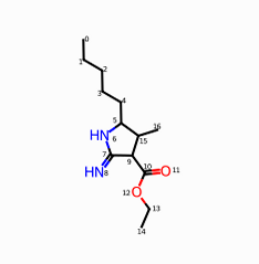 CCCCCC1NC(=N)C(C(=O)OCC)C1C